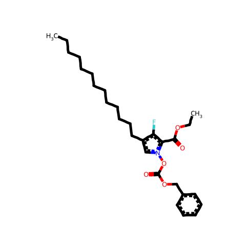 CCCCCCCCCCCCCc1cn(OC(=O)OCc2ccccc2)c(C(=O)OCC)c1F